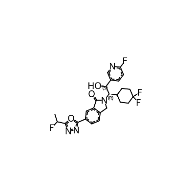 CC(F)c1nnc(-c2ccc3c(c2)C(=O)N([C@H](C2CCC(F)(F)CC2)[C@@H](O)c2ccc(F)nc2)C3)o1